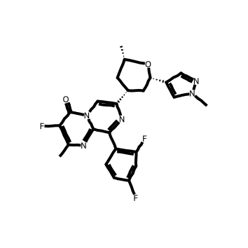 Cc1nc2c(-c3ccc(F)cc3F)nc([C@H]3C[C@@H](c4cnn(C)c4)O[C@@H](C)C3)cn2c(=O)c1F